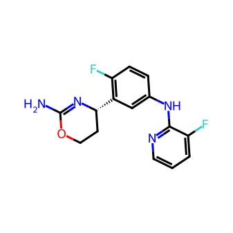 NC1=N[C@H](c2cc(Nc3ncccc3F)ccc2F)CCO1